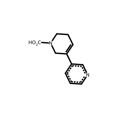 O=C(O)N1CCC=C(c2cccnc2)C1